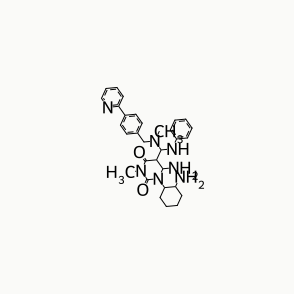 CN1C(=O)C(C(Nc2ccccc2)N(C)Cc2ccc(-c3ccccn3)cc2)C(N)N(C2CCCCC2N)C1=O